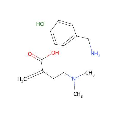 C=C(CCN(C)C)C(=O)O.Cl.NCc1ccccc1